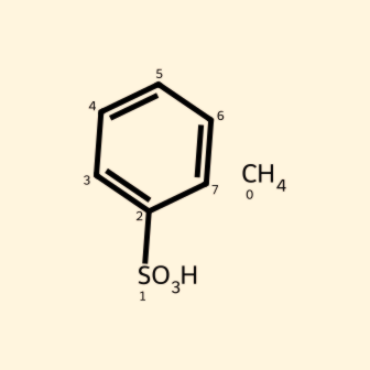 C.O=S(=O)(O)c1ccccc1